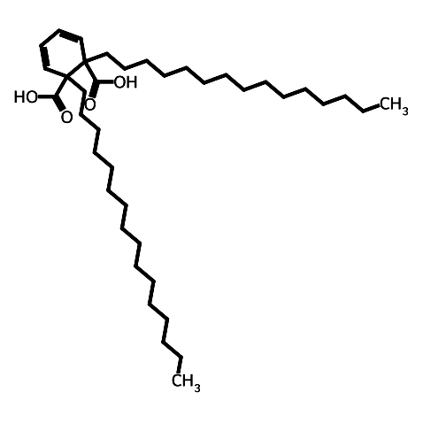 CCCCCCCCCCCCCCCCC1(C(=O)O)C=CC=CC1(CCCCCCCCCCCCCCC)C(=O)O